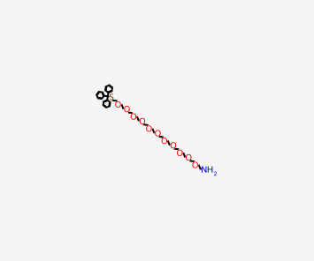 NCCOCCOCCOCCOCCOCCOCCOCCOCCOCCOCCOCCSC(c1ccccc1)(c1ccccc1)c1ccccc1